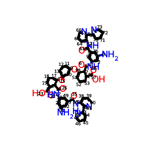 Nc1cc(NC(=O)C2C(Oc3cccc(OC4=CC=CC(C(=O)O)C4C(=O)Nc4cc(N)cc(C(=O)Nc5cccnc5-c5ccccn5)c4)c3)=CC=CC2C(=O)O)cc(C(=O)Nc2cccnc2-c2ccccn2)c1